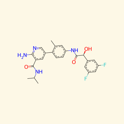 Cc1cc(NC(=O)[C@@H](O)c2cc(F)cc(F)c2)ccc1-c1cnc(N)c(C(=O)NC(C)C)c1